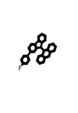 Fc1ccc(-c2ccc3c(c2)C(c2c4ccccc4cc4ccccc24)c2ccccc2-3)cc1